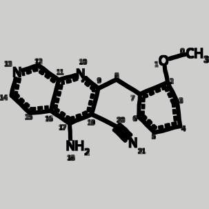 COc1ccccc1Cc1nc2cnccc2c(N)c1C#N